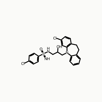 N=S(=O)(NCC(O)CN1c2ccccc2CCc2ccc(Cl)cc21)c1ccc(Cl)cc1